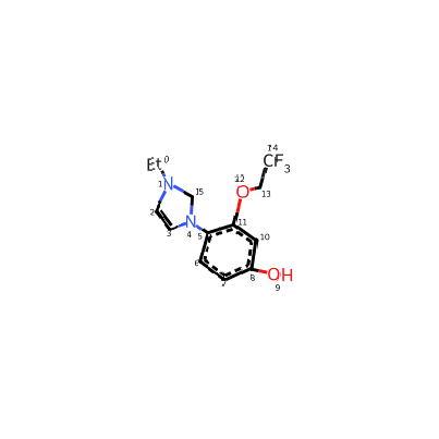 CCN1C=CN(c2ccc(O)cc2OCC(F)(F)F)C1